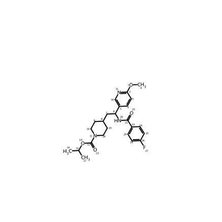 COc1ccc(C(CC2CCN(C(=O)OC(C)C)CC2)NC(=O)c2ccc(F)cc2)cn1